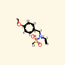 C=CN(Cc1ccc(OC)cc1)S(C)(=O)=O